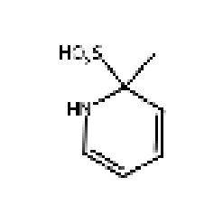 CC1(S(=O)(=O)O)C=CC=CN1